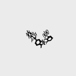 Cc1nn(Cc2c(Cl)cccc2S(C)(=O)=O)c2cc(C(F)(F)c3nnn[nH]3)ccc12